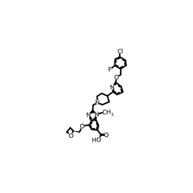 Cn1c(CN2CCC(c3cccc(OCc4ccc(Cl)cc4F)n3)CC2)nc2c(OC[C@@H]3CCO3)cc(C(=O)O)cc21